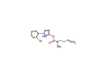 C=CCCN(C(=O)Oc1ncc(-c2ccccc2Br)[nH]1)C(C)(C)C